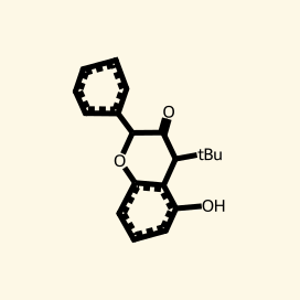 CC(C)(C)C1C(=O)C(c2ccccc2)Oc2cccc(O)c21